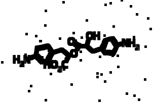 Nc1ccc(CC(O)C(=O)OC(Cc2ccc(N)cc2)C(=O)O)cc1